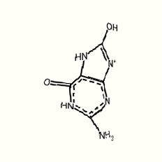 Nc1nc2c(c(=O)[nH]1)NC(O)=[N+]2